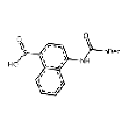 CCCCCCCCCCC(=O)Nc1ccc(S(=O)O)c2ccccc12